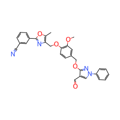 COc1cc(COc2nn(-c3ccccc3)cc2C=O)ccc1OCc1nc(-c2cccc(C#N)c2)oc1C